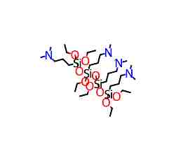 CCO[Si](CCCN(C)C)(OCC)O[Si](CCCN(C)C)(OCC)O[Si](CCCN(C)C)(OCC)O[Si](CCCN(C)C)(OCC)OCC